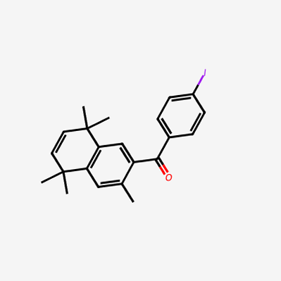 Cc1cc2c(cc1C(=O)c1ccc(I)cc1)C(C)(C)C=CC2(C)C